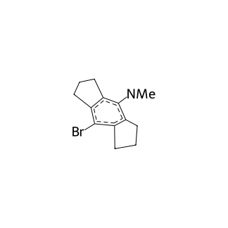 CNc1c2c(c(Br)c3c1CCC3)CCC2